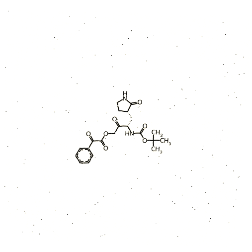 CC(C)(C)OC(=O)N[C@@H](C[C@@H]1CCNC1=O)C(=O)COC(=O)C(=O)c1ccccc1